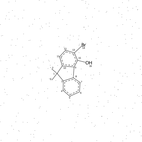 CC1(C)c2ccccc2-c2c1ccc(Br)c2O